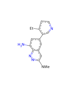 CCc1ccncc1-c1cc(N)c2nnc(NC)cc2c1